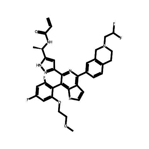 C=CC(=O)N[C@H](C)c1cc(-c2nc(-c3ccc4c(c3)CN(CC(F)F)CC4)c3ccsc3c2-c2c(F)cc(F)cc2OCCOC)n[nH]1